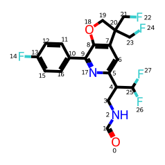 O=CNCC(c1cc2c(c(-c3ccc(F)cc3)n1)OCC2(CF)CF)C(F)F